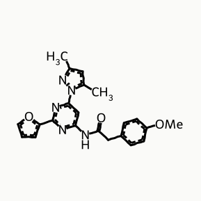 COc1ccc(CC(=O)Nc2cc(-n3nc(C)cc3C)nc(-c3ccco3)n2)cc1